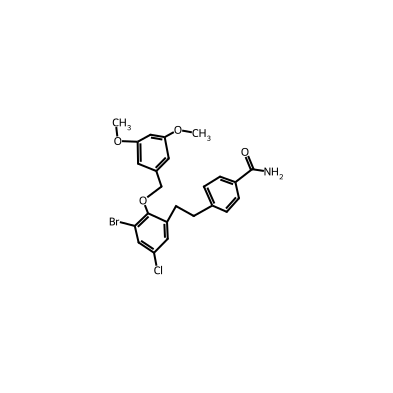 COc1cc(COc2c(Br)cc(Cl)cc2CCc2ccc(C(N)=O)cc2)cc(OC)c1